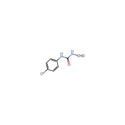 O=CNC(=O)Nc1ccc(Cl)cc1